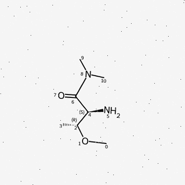 CO[C@H](C)[C@H](N)C(=O)N(C)C